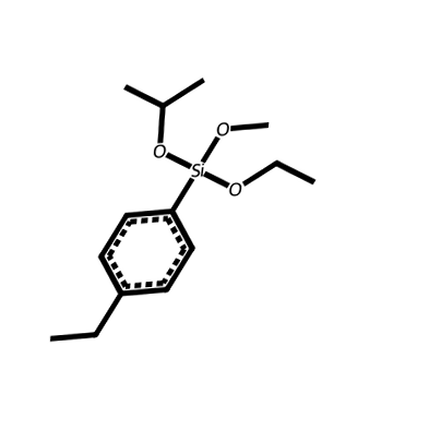 CCO[Si](OC)(OC(C)C)c1ccc(CC)cc1